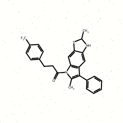 Cc1c(-c2ccccc2)c2cc3c(cc2n1C(=O)CCc1ccc(C(F)(F)F)cc1)SC(C)N3